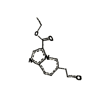 CCOC(=O)c1cnc2ccc(CC=O)cn12